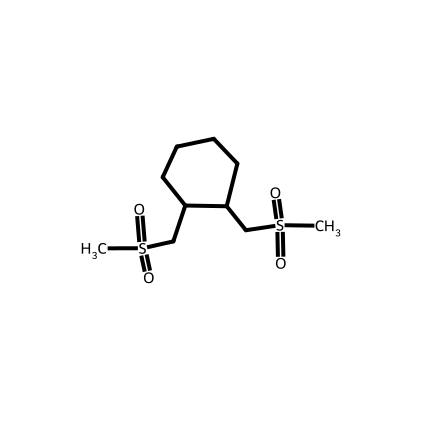 CS(=O)(=O)CC1CCCCC1CS(C)(=O)=O